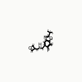 CC(C)c1nc2cc(CNCC3COC3)c(F)c(F)c2o1